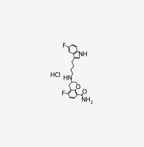 Cl.NC(=O)c1ccc(F)c2c1OCC(NCCCCc1c[nH]c3ccc(F)cc13)C2